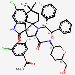 COC(=O)c1cc(Cl)cc([C@H]2[C@H](C(=O)N[C@@H]3CC[C@@H](CO)OC3)N([C@H](c3ccccc3)[C@@H](O)c3ccccc3)C3(CCC(C)(C)CC3)[C@@]23C(=O)Nc2cc(Cl)ccc23)c1